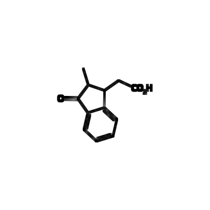 CC1C(=O)c2ccccc2C1CC(=O)O